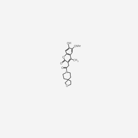 COc1cc2c(C)c(CC(=O)N3CCC4(CCOC4)CC3)c(=O)oc2cc1O